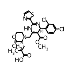 COC(=O)C1=C(CN2CCO[C@H](C)[C@H]2CC(C)C(=O)O)NC(c2nccs2)=N[C@H]1c1ccc(Cl)cc1Cl